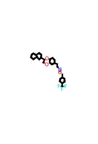 O=CC(Oc1ccc(CC=NOCc2ccc(C(F)(F)F)cc2)cc1)c1ccc2ccccc2c1